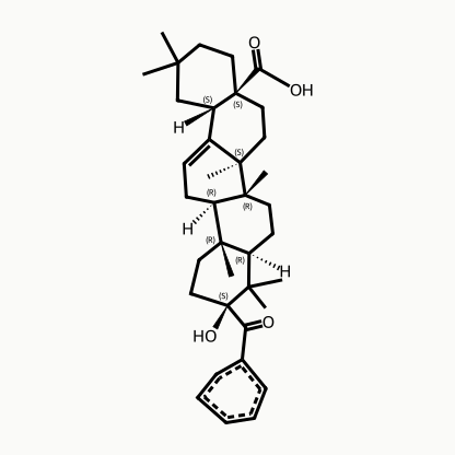 CC1(C)CC[C@]2(C(=O)O)CC[C@]3(C)C(=CC[C@@H]4[C@@]5(C)CC[C@@](O)(C(=O)c6ccccc6)C(C)(C)[C@@H]5CC[C@]43C)[C@@H]2C1